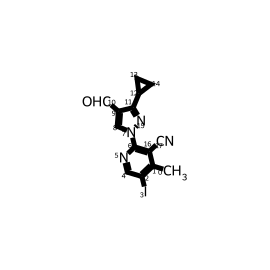 Cc1c(I)cnc(-n2cc(C=O)c(C3CC3)n2)c1C#N